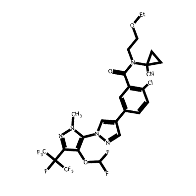 CCOCCN(C(=O)c1cc(-c2cnn(-c3c(OC(F)F)c(C(F)(C(F)(F)F)C(F)(F)F)nn3C)c2)ccc1Cl)C1(C#N)CC1